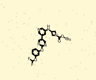 CC(C)(C)OC(=O)N1CC(Nc2cncc(-c3cnc(Oc4cccc(OC(F)F)c4)nc3)c2)C1